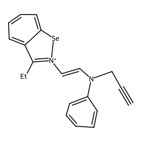 C#CCN(C=C[n+]1[se]c2ccccc2c1CC)c1ccccc1